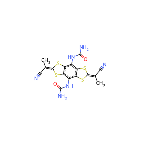 CC(C#N)=C1Sc2c(NC(N)=O)c3c(c(NC(N)=O)c2S1)SC(=C(C)C#N)S3